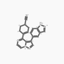 N#CC1CC=C(c2nccn3ncc(-c4ccc5[nH]ncc5c4)c23)CC1